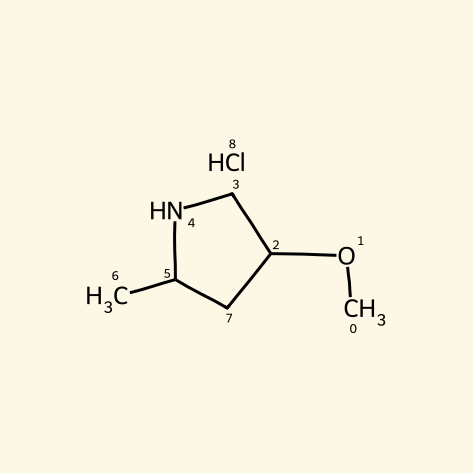 COC1CNC(C)C1.Cl